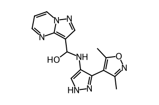 Cc1noc(C)c1-c1n[nH]cc1NC(O)c1cnn2cccnc12